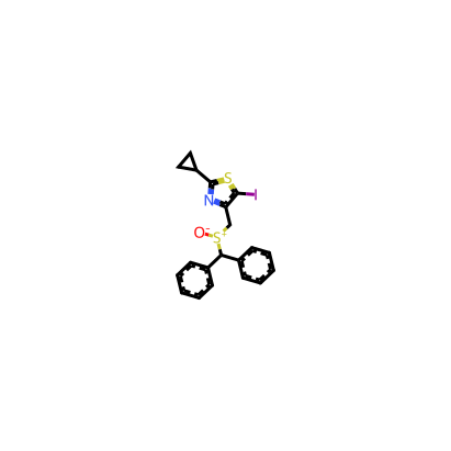 [O-][S+](Cc1nc(C2CC2)sc1I)C(c1ccccc1)c1ccccc1